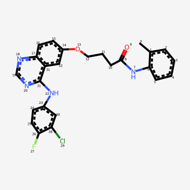 Cc1ccccc1NC(=O)CCCOc1ccc2ncnc(Nc3ccc(F)c(Cl)c3)c2c1